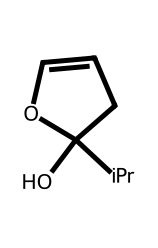 CC(C)C1(O)CC=CO1